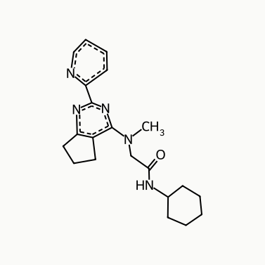 CN(CC(=O)NC1CCCCC1)c1nc(-c2ccccn2)nc2c1CCC2